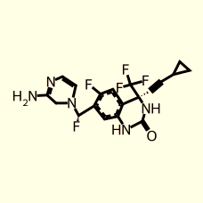 NC1=NC=CN([C@@H](F)c2cc3c(cc2F)[C@@](C#CC2CC2)(C(F)(F)F)NC(=O)N3)C1